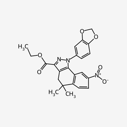 CCOC(=O)c1nn(-c2ccc3c(c2)OCO3)c2c1CC(C)(C)c1ccc([N+](=O)[O-])cc1-2